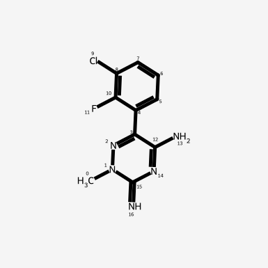 Cn1nc(-c2cccc(Cl)c2F)c(N)nc1=N